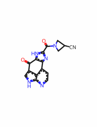 N#CC1CN(C(=O)c2nc3c([nH]2)C(=O)c2c[nH]c4nccc-3c24)C1